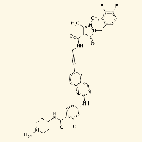 Cc1c(C(=O)NCC#Cc2ccc3nc(Nc4ccc(C(=O)NC5CCN(C)CC5)c(Cl)c4)ncc3c2)c(=O)n(Cc2ccc(F)c(F)c2)n1C